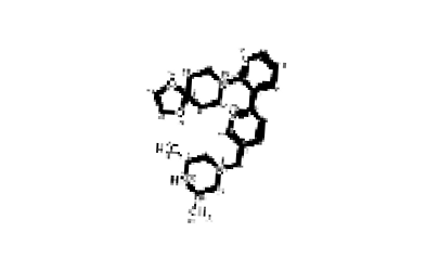 C[C@@H]1CN(Cc2ccc(-c3cccnc3N3CCC4(CC3)OCCO4)nc2)C[C@H](C)N1